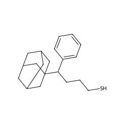 SCCCC(c1ccccc1)C12CC3CC(CC(C3)C1)C2